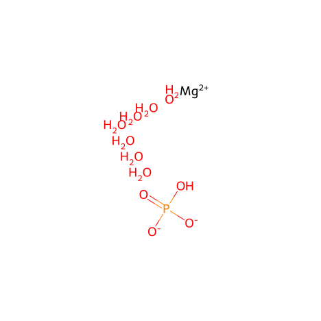 O.O.O.O.O.O.O.O=P([O-])([O-])O.[Mg+2]